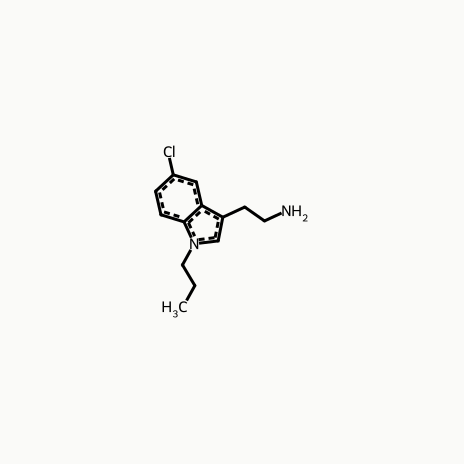 CCCn1cc(CCN)c2cc(Cl)ccc21